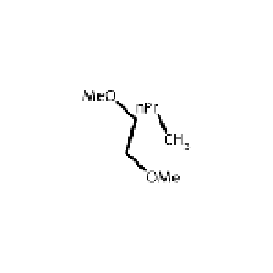 CCCC.COCCOC